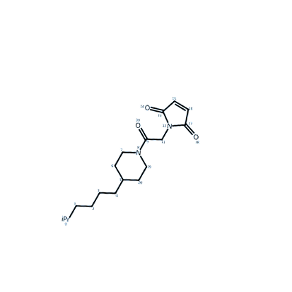 CC(C)CCCCC1CCN(C(=O)CN2C(=O)C=CC2=O)CC1